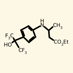 CCOC(=O)CC(C)Nc1ccc(C(O)(C(F)(F)F)C(F)(F)F)cc1